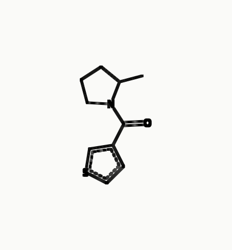 CC1CCCN1C(=O)c1ccsc1